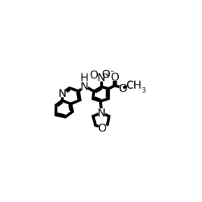 COC(=O)c1cc(N2CCOCC2)cc(Nc2cnc3ccccc3c2)c1[N+](=O)[O-]